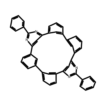 c1ccc(-c2nc3cc(n2)c2cccc(c2)c2cccc(c2)c2cc(nc(-c4ccccc4)n2)c2cccc(c2)c2cccc3c2)cc1